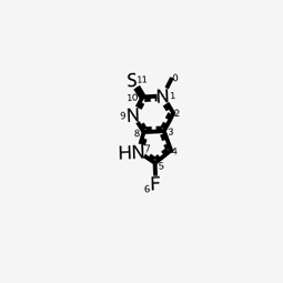 Cn1cc2cc(F)[nH]c2nc1=S